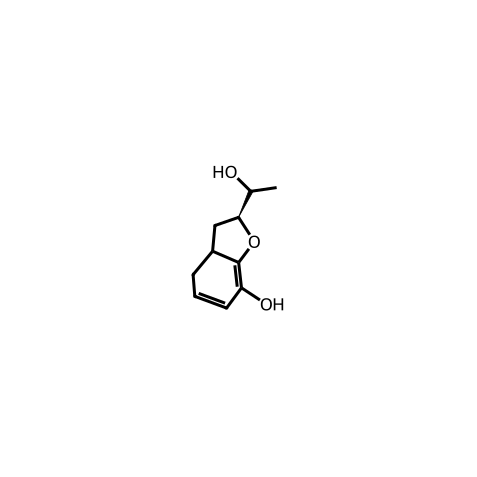 CC(O)[C@@H]1CC2CC=CC(O)=C2O1